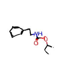 [CH2]C(CC)OC(=O)NCCc1ccccc1